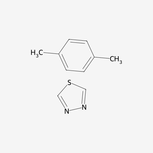 Cc1ccc(C)cc1.c1nncs1